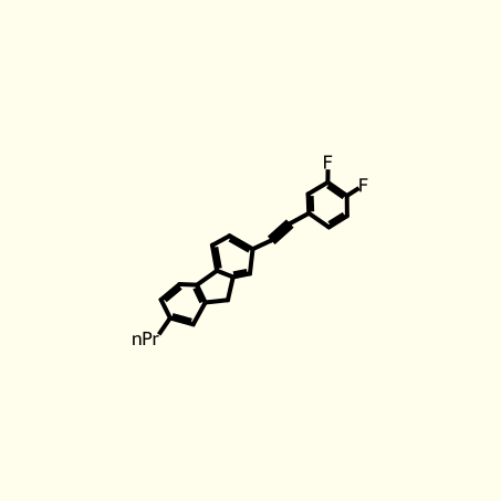 CCCc1ccc2c(c1)Cc1cc(C#Cc3ccc(F)c(F)c3)ccc1-2